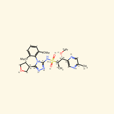 COc1cccc(OC)c1-n1c(NS(=O)(=O)[C@H](C)[C@H](OC(C)C)c2cnc(C)cn2)nnc1[C@@H]1CCOC1